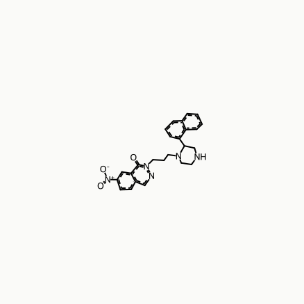 O=c1c2cc([N+](=O)[O-])ccc2cnn1CCCN1CCNCC1c1cccc2ccccc12